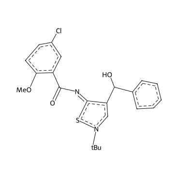 COc1ccc(Cl)cc1C(=O)/N=c1\sn(C(C)(C)C)cc1C(O)c1ccccc1